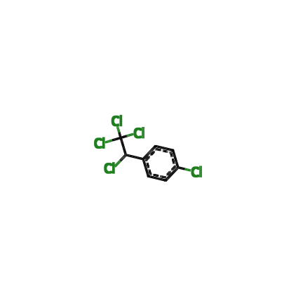 Clc1ccc(C(Cl)C(Cl)(Cl)Cl)cc1